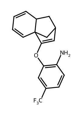 Nc1ccc(C(F)(F)F)cc1OC1=CC2CC3C=CC=CC13C2